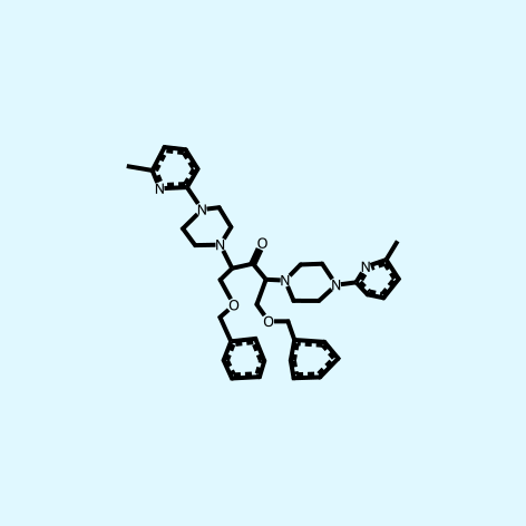 Cc1cccc(N2CCN(C(COCc3ccccc3)C(=O)C(COCc3ccccc3)N3CCN(c4cccc(C)n4)CC3)CC2)n1